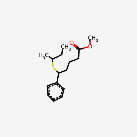 CCC(C)SC(CCCC(=O)OC)c1ccccc1